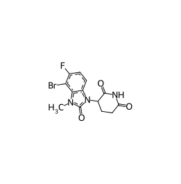 Cn1c(=O)n(C2CCC(=O)NC2=O)c2ccc(F)c(Br)c21